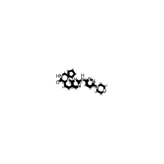 O=C1NCC2(CCCC2)N2c3nc(Nc4ccc(N5CCOCC5)nn4)ncc3C=CC12